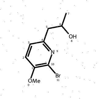 COc1ccc(CC(C)O)nc1Br